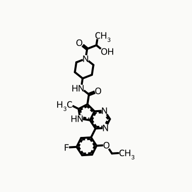 CCOc1ccc(F)cc1-c1ncnc2c(C(=O)NC3CCN(C(=O)C(C)O)CC3)c(C)[nH]c12